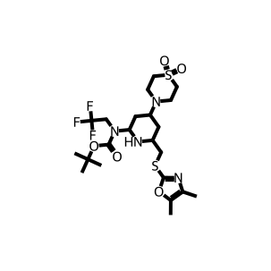 Cc1nc(SCC2CC(N3CCS(=O)(=O)CC3)CC(N(CC(F)(F)F)C(=O)OC(C)(C)C)N2)oc1C